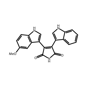 COc1ccc2[nH]cc(C3=C(c4c[nH]c5ccccc45)C(=O)NC3=O)c2c1